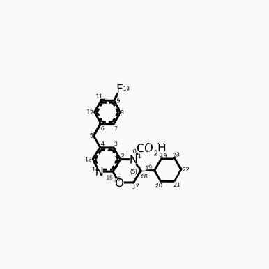 O=C(O)N1c2cc(Cc3ccc(F)cc3)cnc2OC[C@@H]1C1CCCCC1